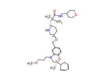 COCCCN1C[C@](C)(C2C=CC=CC2)Oc2ccc(CO[C@@H]3CC[C@@H](CC(C)(C)C(=O)NCC4CCOCC4)NC3)cc21